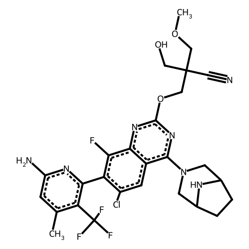 COCC(C#N)(CO)COc1nc(N2CC3CCC(C2)N3)c2cc(Cl)c(-c3nc(N)cc(C)c3C(F)(F)F)c(F)c2n1